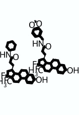 C[C@]12CCC3c4ccc(O)cc4CCC3C1[C@H](CCC(=O)NC1CCCCC1)CC2(F)F.C[C@]12CCC3c4ccc(O)cc4CCC3C1[C@H](CCC(=O)NCc1ccc3c(c1)OCO3)CC2(F)F